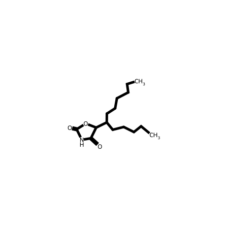 CCCCCCC(CCCCC)C1OC(=O)NC1=O